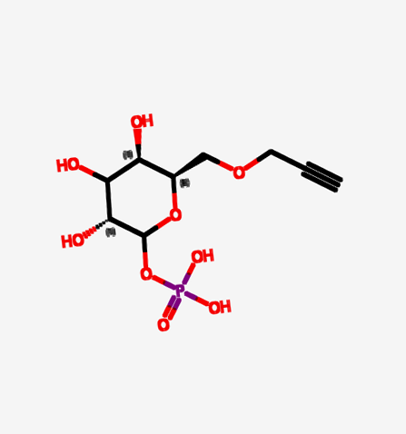 C#CCOC[C@H]1OC(OP(=O)(O)O)[C@H](O)C(O)[C@H]1O